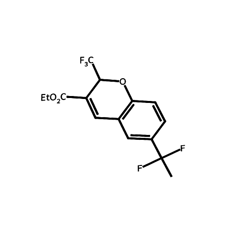 CCOC(=O)C1=Cc2cc(C(C)(F)F)ccc2OC1C(F)(F)F